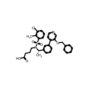 Cc1c(Cl)cccc1S(=O)(=O)N(CCCC(=O)O)[C@@H](C)c1cccc(-c2ccncc2OCc2ccccc2)c1